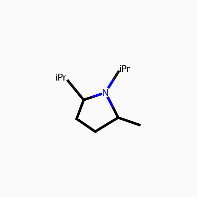 CC(C)C1CCC(C)N1C(C)C